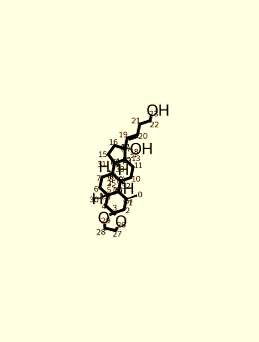 C[C@H]1CC2(C[C@@H]3CC[C@@H]4[C@H](CC[C@@]5(C)[C@H]4CC[C@@]5(O)C=CCCO)[C@]31C)OCCO2